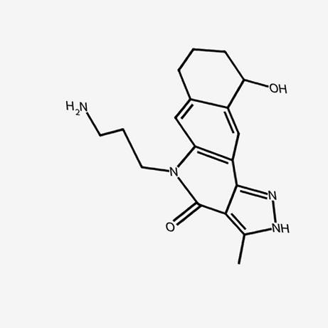 Cc1[nH]nc2c1c(=O)n(CCCN)c1cc3c(cc21)C(O)CCC3